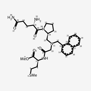 COC(=O)[C@H](CCSC)NC(=O)CN(Cc1cccc2ccccc12)C[C@@H]1CCCN1C(=O)[C@@H](N)CCC(N)=O